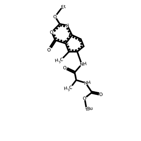 CCOc1nc2ccc(NC(=O)C(C)NC(=O)OC(C)(C)C)c(C)c2c(=O)o1